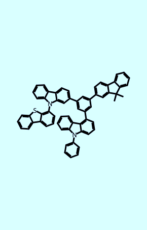 CC1(C)c2ccccc2-c2ccc(-c3cc(-c4ccc5c6ccccc6n(-c6cccc7c6sc6ccccc67)c5c4)cc(-c4cccc5c4c4ccccc4n5-c4ccccc4)c3)cc21